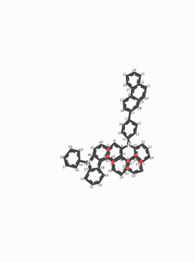 c1ccc(-c2ccccc2N(c2ccc(-c3ccc4c(ccc5ccccc54)c3)cc2)c2ccccc2-c2cccc(-c3cccc4c3c3ccccc3n4-c3ccccc3)c2)cc1